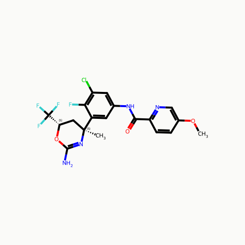 COc1ccc(C(=O)Nc2cc(Cl)c(F)c([C@]3(C)C[C@@H](C(F)(F)F)OC(N)=N3)c2)nc1